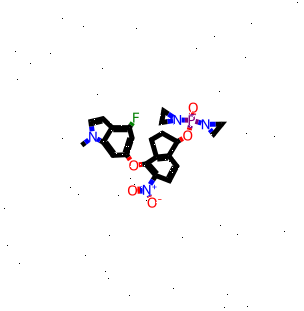 Cn1ccc2c(F)cc(Oc3c([N+](=O)[O-])ccc4c3CCC4OP(=O)(N3CC3)N3CC3)cc21